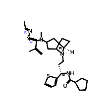 C=C(C)/C(=N/N=C/C)N(C)C1CC2N(CC[C@H](NC(=O)C3CCCC3)c3cccs3)[C@@H]3CCC23C1